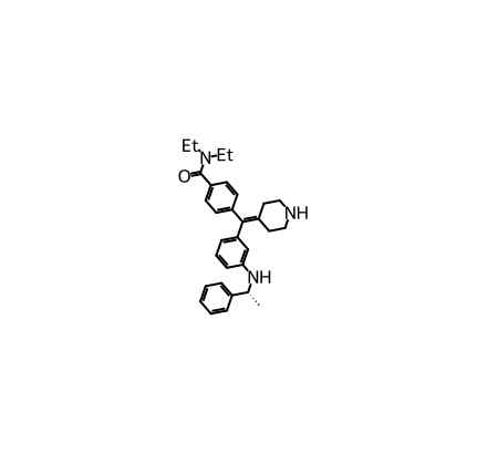 CCN(CC)C(=O)c1ccc(C(=C2CCNCC2)c2cccc(N[C@H](C)c3ccccc3)c2)cc1